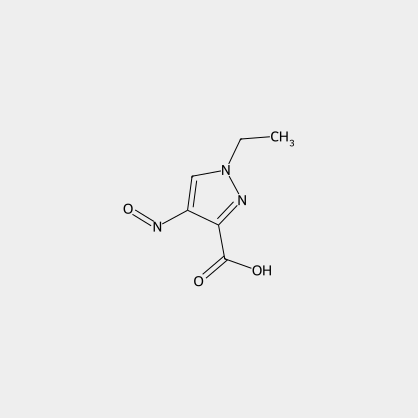 CCn1cc(N=O)c(C(=O)O)n1